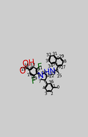 Cc1cccc([C@H]2CN(c3c(F)cc(C(=O)O)cc3F)C[C@@H]2CN[C@H](C)c2cccc3ccccc23)c1